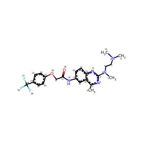 Cc1nc(N(C)CCN(C)C)nc2ccc(NC(=O)COc3ccc(C(F)(F)F)cc3)cc12